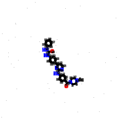 CC(=O)N1CCN(C(=O)c2ccc(Nc3nccc(-c4ccc(NC(=O)Nc5ccccc5)cc4)n3)cc2)CC1